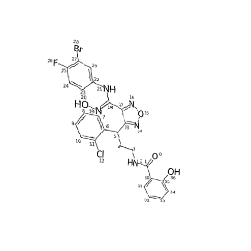 O=C(NCCC(c1ccccc1Cl)c1nonc1C(=NO)Nc1ccc(F)c(Br)c1)c1ccccc1O